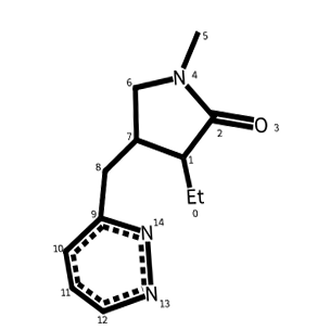 CCC1C(=O)N(C)CC1Cc1cccnn1